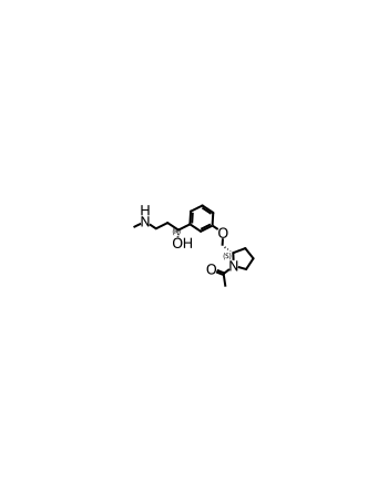 CNCC[C@@H](O)c1cccc(OC[C@@H]2CCCN2C(C)=O)c1